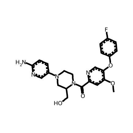 COc1cc(C(=O)N2CCN(c3ccc(N)nc3)CC2CO)ncc1Oc1ccc(F)cc1